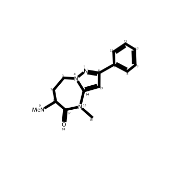 CNC1CCn2nc(-c3ccccc3)cc2N(C)C1=O